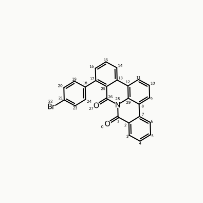 O=c1c2ccccc2c2cccc3c4cccc(-c5ccc(Br)cc5)c4c(=O)n1c23